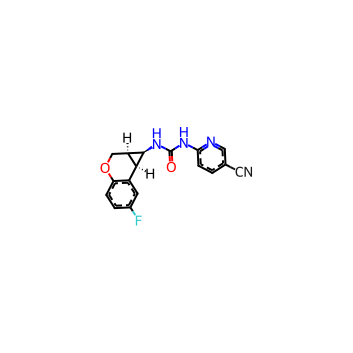 N#Cc1ccc(NC(=O)N[C@@H]2[C@@H]3COc4ccc(F)cc4[C@@H]32)nc1